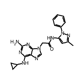 Cc1cc(NC(=O)Cn2cnc3c(NC4CC4)nc(N)nc32)n(-c2ccccc2)n1